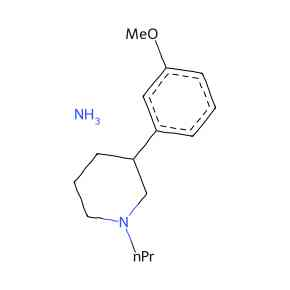 CCCN1CCCC(c2cccc(OC)c2)C1.N